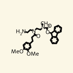 COc1ccc(CCC(=O)N(CCN)CCN(C)C(=O)OC2c3ccccc3-c3ccccc32)cc1OC